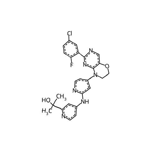 CC(C)(O)c1cc(Nc2cc(N3CCOc4cnc(-c5cc(Cl)ccc5F)nc43)ccn2)ccn1